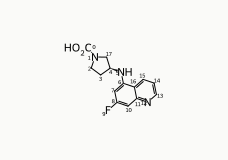 O=C(O)N1CC[C@H](Nc2cc(F)cc3ncccc23)C1